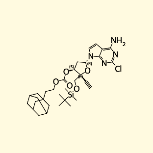 C#C[C@]1(CO[Si](C)(C)C(C)(C)C)O[C@@H](n2ccc3c(N)nc(Cl)nc32)C[C@@H]1OC(=O)OCCC12CC3CC(CC(C3)C1)C2